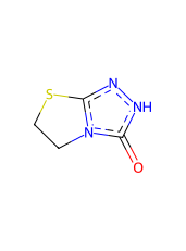 O=c1[nH]nc2n1CCS2